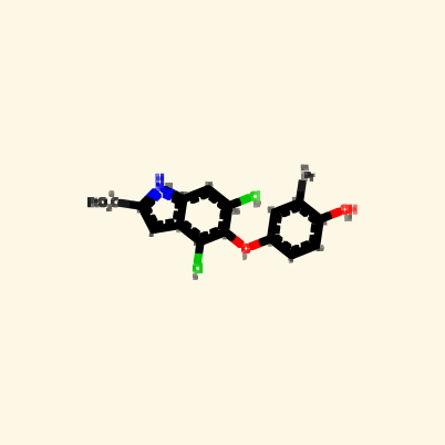 CCOC(=O)c1cc2c(Cl)c(Oc3ccc(O)c(C(C)C)c3)c(Cl)cc2[nH]1